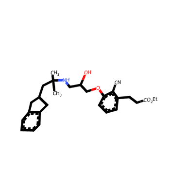 CCOC(=O)CCc1cccc(OCC(O)CNC(C)(C)CC2Cc3ccccc3C2)c1C#N